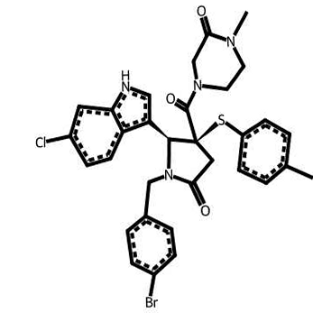 Cc1ccc(S[C@@]2(C(=O)N3CCN(C)C(=O)C3)CC(=O)N(Cc3ccc(Br)cc3)[C@H]2c2c[nH]c3cc(Cl)ccc23)cc1